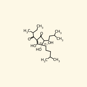 CCC(C)C(=O)C1=C(O)[C@](O)([C@H](O)CCC(C)C)C(CCC(C)C)C1=O